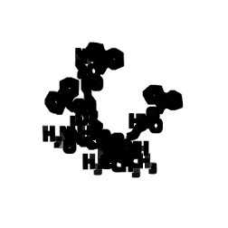 CC(=O)N[C@@H](CCCCNC(=O)OCC1c2ccccc2-c2ccccc21)C(=O)N[C@H](C(=O)N[C@@H](CCCNC(N)=O)C(=O)NCCCN(CCCCN(CCCN)C(=O)OCC1c2ccccc2-c2ccccc21)C(=O)OCC1c2ccccc2-c2ccccc21)C(C)C